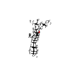 CC(C)=O.FC(F)(F)C(F)(F)O[Si](OC(F)(F)C(F)(F)F)(OC(F)(F)C(F)(F)F)C(F)(F)C(F)(F)C(F)(F)C(F)(F)C(F)(F)C(F)(F)C(F)(F)C(F)(F)C(F)(F)C(F)(F)F